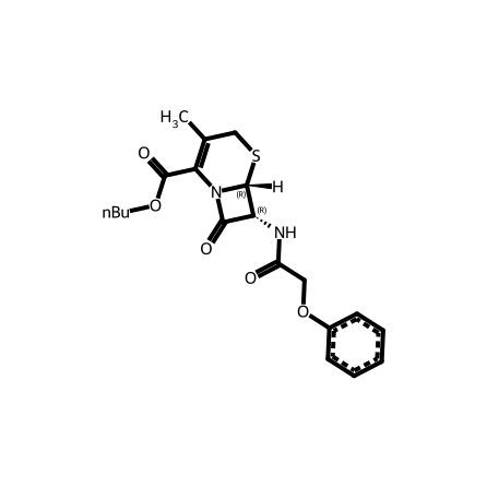 CCCCOC(=O)C1=C(C)CS[C@@H]2[C@H](NC(=O)COc3ccccc3)C(=O)N12